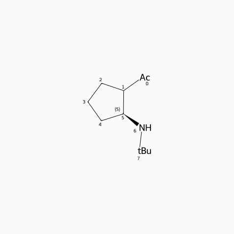 CC(=O)C1CCC[C@@H]1NC(C)(C)C